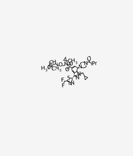 CC(C)C(=O)N1CCN(c2cc(S(=O)(=O)N(COCC[Si](C)(C)C)C3(C)CC3)cc3c(-c4nnc(C(F)F)s4)nn(CC4CC4)c23)CC1